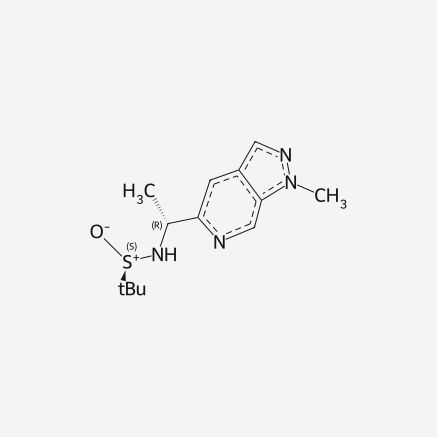 C[C@@H](N[S@+]([O-])C(C)(C)C)c1cc2cnn(C)c2cn1